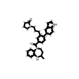 CC1CCN(C(=O)c2ccc(-c3ccc4[nH]ccc4c3)c(CCCN3CCCC3=O)c2)c2ccccc2N1